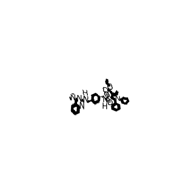 CCOC(=O)c1c(S(=O)(=O)NC[C@H]2CC[C@H](CNc3nc(N(C)C)c4ccccc4n3)CC2)c(-c2ccccc2)n(-c2ccccc2)c1C